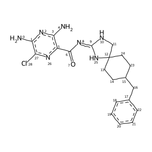 Nc1nc(N)c(C(=O)/N=C2/NCC3(CCC(Cc4ccccc4)CC3)N2)nc1Cl